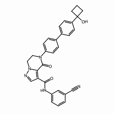 N#Cc1cccc(NC(=O)c2cnn3c2C(=O)N(c2ccc(-c4ccc(C5(O)CCC5)cc4)cc2)CC3)c1